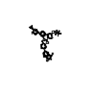 Cn1nc(F)c2cc([C@H]3CC[C@H](CN(c4cccc(-c5cnn(C6CC6)c5)c4)C(=O)[C@H]4CC[C@H](O[Si](C)(C)C(C)(C)C)CC4)CC3)ccc21